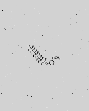 COc1cccc(OC(F)=C(F)C(F)(F)C(F)(F)C(F)(F)C(F)(F)C(F)(F)C(F)(F)C(F)(F)F)c1